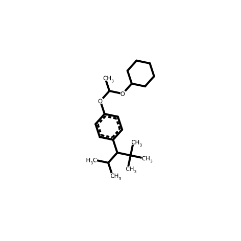 CC(Oc1ccc(C(C(C)C)C(C)(C)C)cc1)OC1CCCCC1